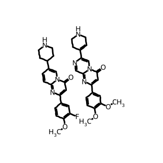 COc1ccc(-c2cc(=O)n3cc(C4=CCNCC4)ncc3n2)cc1OC.COc1ccc(-c2cc(=O)n3cc(C4CCNCC4)ccc3n2)cc1F